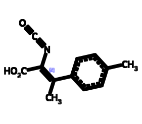 C/C(=C(/N=C=O)C(=O)O)c1ccc(C)cc1